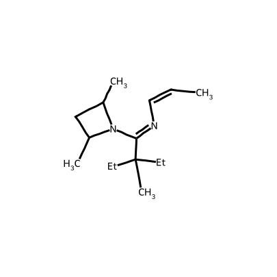 C/C=C\N=C(/N1C(C)CC1C)C(C)(CC)CC